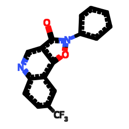 O=c1c2cnc3ccc(C(F)(F)F)cc3c2on1-c1ccccc1